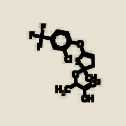 CC(OC1(C)CC=C(Oc2ccc(C(F)(F)F)cc2Cl)S1)C(=O)O